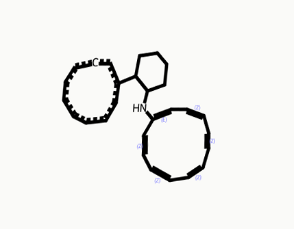 C1=C\C=C/C=C\C(NC2CCCCC2c2ccccccccc2)=C/C=C\C=C/1